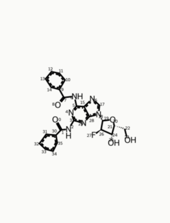 O=C(Nc1nc(NC(=O)c2ccccc2)c2ncn([C@@H]3O[C@H](CO)[C@H](O)[C@H]3F)c2n1)c1ccccc1